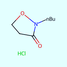 CCCCN1OCCC1=O.Cl